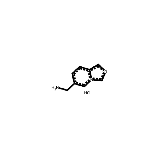 Cl.NCc1ccc2cncn2c1